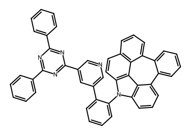 c1ccc(-c2nc(-c3ccccc3)nc(-c3cncc(-c4ccccc4-n4c5cccc6c5c5c7c(cccc7ccc54)-c4ccccc4-6)c3)n2)cc1